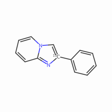 c1ccc(-[13c]2cn3ccccc3n2)cc1